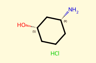 Cl.N[C@@H]1CCC[C@H](O)C1